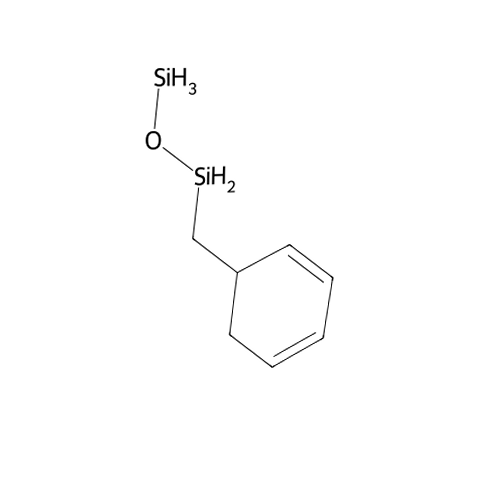 [SiH3]O[SiH2]CC1C=CC=CC1